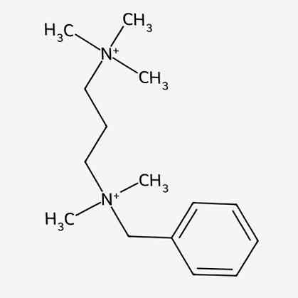 C[N+](C)(C)CCC[N+](C)(C)Cc1ccccc1